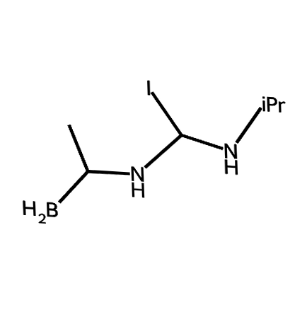 BC(C)NC(I)NC(C)C